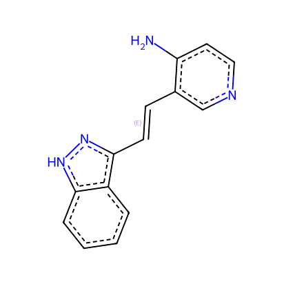 Nc1ccncc1/C=C/c1n[nH]c2ccccc12